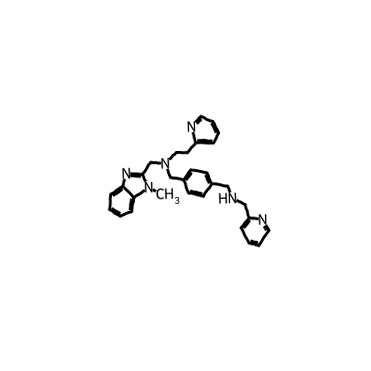 Cn1c(CN(CCc2ccccn2)Cc2ccc(CNCc3ccccn3)cc2)nc2ccccc21